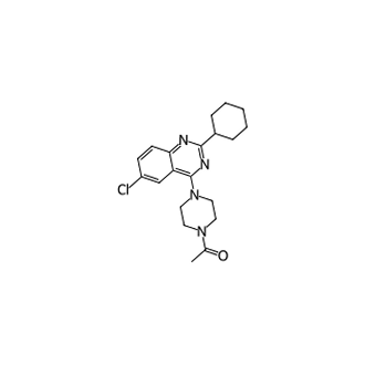 CC(=O)N1CCN(c2nc(C3CCCCC3)nc3ccc(Cl)cc23)CC1